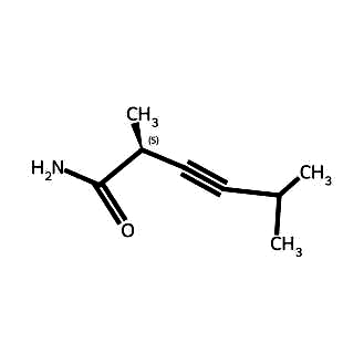 CC(C)C#C[C@H](C)C(N)=O